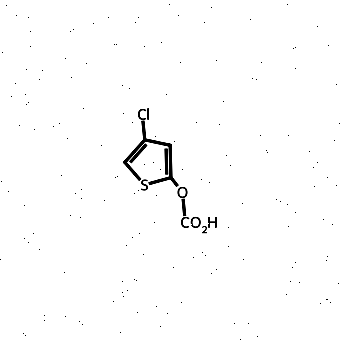 O=C(O)Oc1cc(Cl)cs1